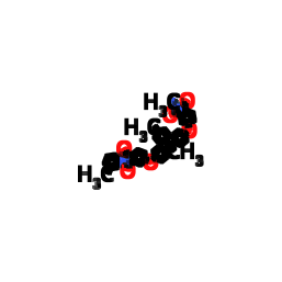 Cc1ccc(C(C)(c2ccc(Oc3ccc4c(c3)C(=O)N(C)C4=O)cc2)c2ccc(Oc3ccc4c(c3)C(=O)N(c3cccc(C)c3)C4=O)cc2)cc1